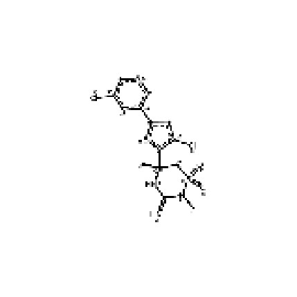 CN1C(=N)N[C@](C)(c2sc(-c3cncc(Cl)c3)cc2Cl)CS1(=O)=O